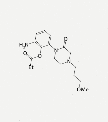 CCC(=O)Oc1c(N)cccc1N1CCN(CCCOC)CC1=O